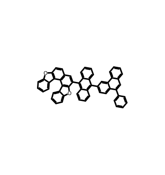 c1ccc(-c2cc3ccccc3c3cc(-c4c5ccccc5c(-c5cc6ccc7oc8ccccc8c7c6c6c5oc5ccccc56)c5ccccc45)ccc23)cc1